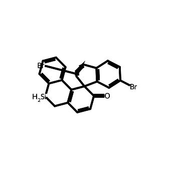 O=C1C=CC2=C(c3ccccc3[SiH2]C2)C12c1cc(Br)ccc1-c1ccc(Br)cc12